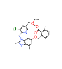 CCOCc1cnc(Cn2c(C)nc3c(C)cc(OCc4cccc(C)c4C(=O)OC)cc32)c(Cl)c1